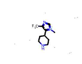 Cn1cnc(C(F)(F)F)c1C1CCNCC1